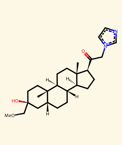 COC[C@]1(O)CC[C@@]2(C)[C@H](CC[C@@H]3[C@@H]2CC[C@]2(C)[C@@H](C(=O)Cn4ccnc4)CC[C@@H]32)C1